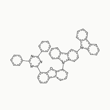 c1ccc(-c2nc(-c3ccccc3)nc(-c3cccc4c3oc3c(-n5c6ccccc6c6cc(-n7c8ccccc8c8ccccc87)ccc65)cccc34)n2)cc1